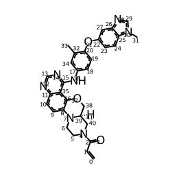 C=CC(=O)N1CCN2c3ccc4ncnc(Nc5ccc(Oc6ccc7c(c6)ncn7C)c(C)c5)c4c3OC[C@H]2C1